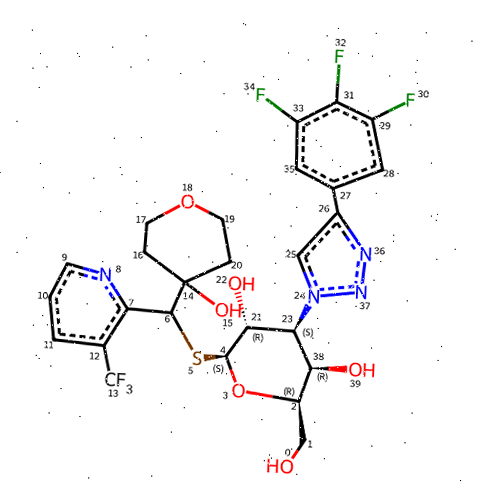 OC[C@H]1O[C@@H](SC(c2ncccc2C(F)(F)F)C2(O)CCOCC2)[C@H](O)[C@@H](n2cc(-c3cc(F)c(F)c(F)c3)nn2)[C@H]1O